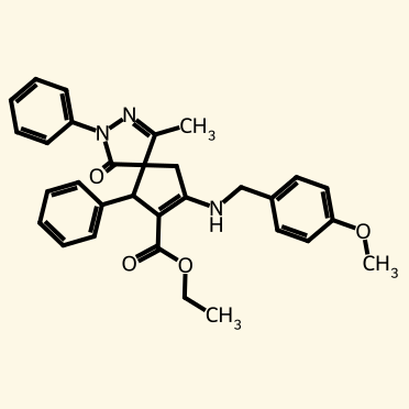 CCOC(=O)C1=C(NCc2ccc(OC)cc2)CC2(C(=O)N(c3ccccc3)N=C2C)C1c1ccccc1